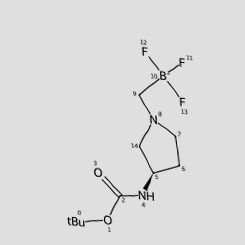 CC(C)(C)OC(=O)N[C@@H]1CCN(C[B-](F)(F)F)C1